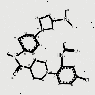 CC(=O)Nc1cc(Cl)ccc1N1CCC(C(=O)N(C)c2ccc(N3CCC(N(C)C)C3)cc2)CC1